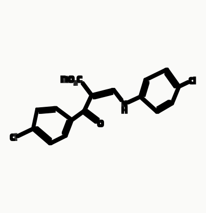 CCOC(=O)C(=CNc1ccc(Cl)cc1)C(=O)c1ccc(Cl)cc1